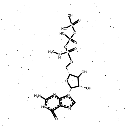 CBP(=O)(OC[C@H]1O[C@@H](n2cnc3c(=O)[nH]c(N)nc32)[C@@H](O)C1O)OP(=O)(O)OP(=O)(O)O